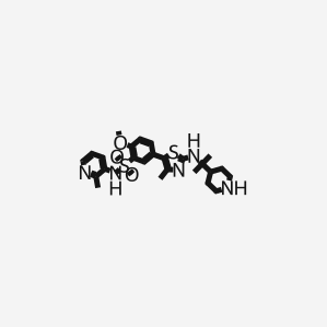 COc1ccc(-c2sc(NC(C)(C)C3CCNCC3)nc2C)cc1S(=O)(=O)Nc1cccnc1C